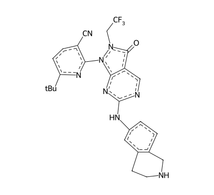 CC(C)(C)c1ccc(C#N)c(-n2c3nc(Nc4ccc5c(c4)CCNC5)ncc3c(=O)n2CC(F)(F)F)n1